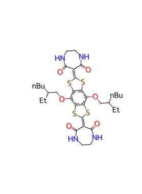 CCCCC(CC)COc1c2c(c(OCC(CC)CCCC)c3c1SC(=C1C(=O)NCCNC1=O)S3)SC(=C1C(=O)NCCNC1=O)S2